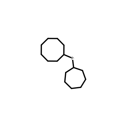 C1CCCC([P]C2CCCCCC2)CCC1